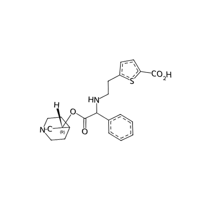 O=C(O)c1ccc(CCNC(C(=O)O[C@H]2CN3CCC2CC3)c2ccccc2)s1